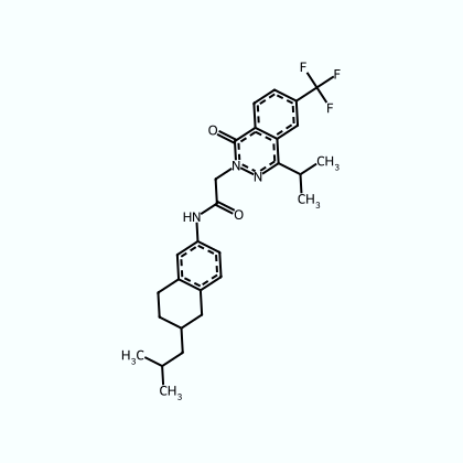 CC(C)CC1CCc2cc(NC(=O)Cn3nc(C(C)C)c4cc(C(F)(F)F)ccc4c3=O)ccc2C1